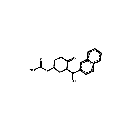 CC(C)(C)C(=O)ON1CCC(=O)C(C(S)c2ccc3ccccc3c2)C1